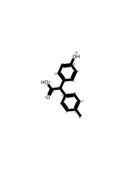 Cc1ccc(C(C(=O)O)c2ccc(O)cc2)cc1